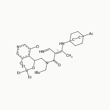 CC[Si](CC)(CC)OC(CN(CC(C)(C)C)C(=O)/C(C=N)=C(\C)NC12CCC(C(C)=O)(CC1)CC2)c1c(Cl)cncc1Cl